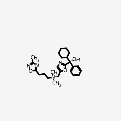 Cc1noc(CCC[N+](C)(C)Cc2cnc([C@](O)(c3ccccc3)C3CCCCC3)o2)n1